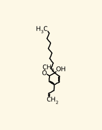 C=CCC1=CC(OC)C(O)(CCCCCCCCC)C=C1